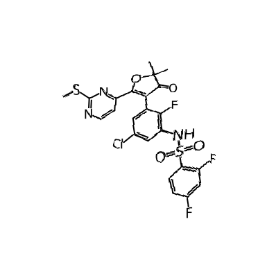 CSc1nccc(C2=C(c3cc(Cl)cc(NS(=O)(=O)c4ccc(F)cc4F)c3F)C(=O)C(C)(C)O2)n1